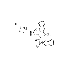 COc1cc2ccccc2cc1N(CC(=O)NCCNC(C)C)CC(=O)N(C)N1Cc2ccccc2C1